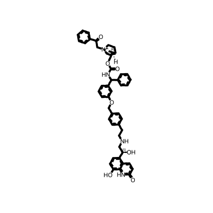 O=C(NC(c1ccccc1)c1cccc(OCc2ccc(CCNC[C@@H](O)c3ccc(O)c4[nH]c(=O)ccc34)cc2)c1)O[C@H]1C[N+]2(CC(=O)c3ccccc3)CCC1CC2